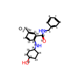 O=C(NCc1ccccc1)c1cc([N+](=O)[O-])ccc1NC1CCC(O)CC1